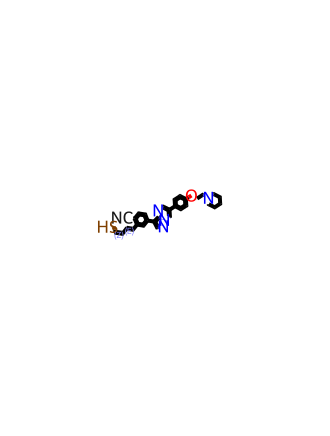 N#Cc1ccc(-c2cnn3cc(-c4ccc(OCCN5CCCCC5)cc4)cnc23)cc1/C=C/C=C\S